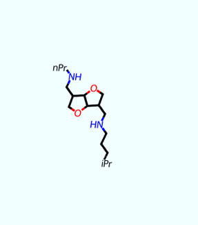 CCCNCC1COC2C(CNCCCC(C)C)COC12